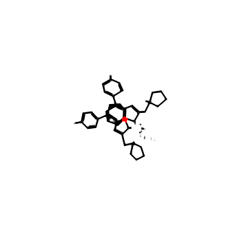 CC1(CC2=Cc3c(-c4ccc(C(C)(C)C)cc4)cccc3[CH]2[Zr]([CH3])([CH3])(=[SiH2])[CH]2C(CC3(C)CCCC3)=Cc3c(-c4ccc(C(C)(C)C)cc4)cccc32)CCCC1.Cl.Cl